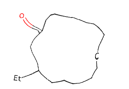 CCC1CCCCCCCCC(=O)C1